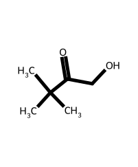 CC(C)(C)C(=O)CO